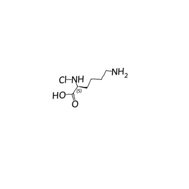 NCCCC[C@H](NCl)C(=O)O